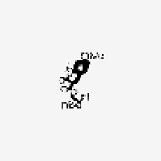 CCCCC(CC)COC(=O)C(=Cc1ccc(OC)cc1)C(=O)OI